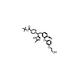 Cc1ncc(C(Cc2ccc(C#N)c(Oc3cccc(OCCO)c3)c2)N2CCN(C(=O)OC(C)(C)C)CC2)[nH]1